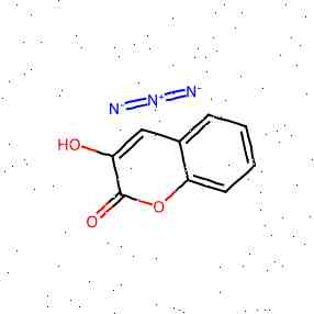 O=c1oc2ccccc2cc1O.[N-]=[N+]=[N-]